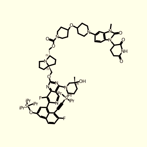 CC(C)[Si](C#Cc1c(F)ccc2cc(O[Si](C(C)C)(C(C)C)C(C)C)cc(-c3ncc4c(N5CCC[C@@](C)(O)C5)nc(OC[C@@]56CCCN5[C@H](COC(=O)N5CCC(OC7CCN(c8ccc9c(c8)n(C)c(=O)n9C8CCC(=O)NC8=O)CC7)CC5)CC6)nc4c3F)c12)(C(C)C)C(C)C